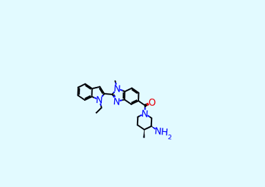 CCn1c(-c2nc3cc(C(=O)N4CC[C@H](C)[C@H](N)C4)ccc3n2C)cc2ccccc21